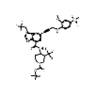 COc1cc(S(C)(=O)=O)ccc1NCC#Cc1cc(C(=O)NC2CCN(C(=O)OC(C)(C)C)CC2C(F)(F)F)c2ncn(CC(F)(F)F)c2c1